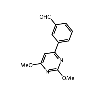 COc1cc(-c2cccc(C=O)c2)nc(OC)n1